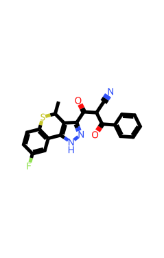 CC1Sc2ccc(F)cc2-c2[nH]nc(C(=O)C(C#N)C(=O)c3ccccc3)c21